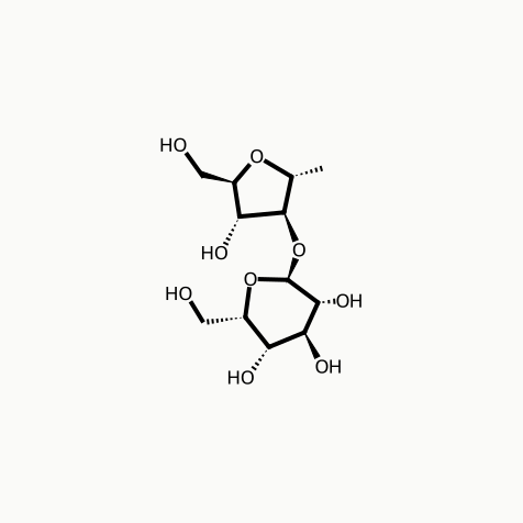 C[C@H]1O[C@H](CO)[C@@H](O)[C@@H]1O[C@@H]1O[C@@H](CO)[C@@H](O)[C@H](O)[C@H]1O